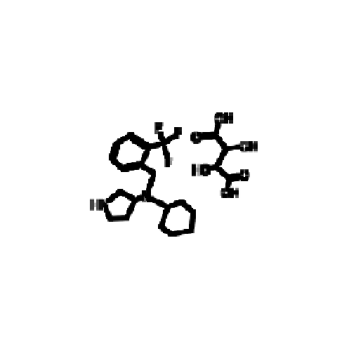 FC(F)(F)c1ccccc1CN(C1CCCCC1)[C@H]1CCNC1.O=C(O)C(O)C(O)C(=O)O